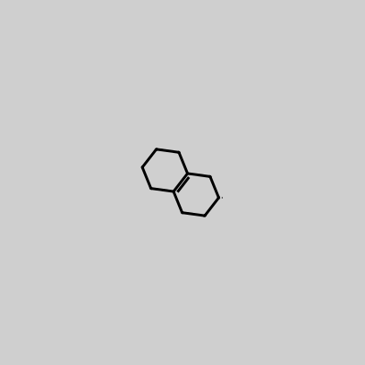 [CH]1CCC2=C(C1)CCCC2